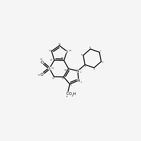 O=C(O)c1nn(C2CCCCC2)c2c1CS(=O)(=O)c1ccsc1-2